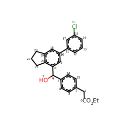 CCOC(=O)Cc1ccc(C(O)c2cc(-c3cccc(Cl)c3)cc3c2CCC3)cc1